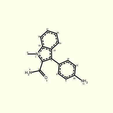 Cn1c(C(N)=O)c(-c2ccc(N)cc2)c2ccccc21